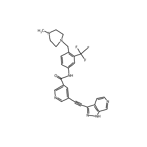 CN1CCN(Cc2ccc(NC(=O)c3cncc(C#Cc4n[nH]c5cnccc45)c3)cc2C(F)(F)F)CC1